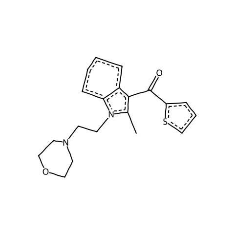 Cc1c(C(=O)c2cccs2)c2ccccc2n1CCN1CCOCC1